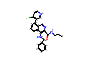 CCCNC(=O)c1ncc2c(-c3cnccc3F)cccc2c1NCc1ccccc1